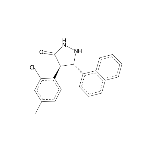 Cc1ccc([C@H]2C(=O)NN[C@@H]2c2cccc3ccccc23)c(Cl)c1